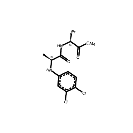 COC(=O)[C@@H](NC(=O)[C@H](C)Nc1ccc(Cl)c(Cl)c1)C(C)C